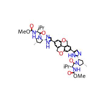 COC(=O)N[C@H](C(=O)N1C[C@@H](C)C[C@H]1c1ncc(-c2cc3c4c(c2)OCc2cc(-c5cnc([C@@H]6C[C@H](C)CN6C(=O)[C@@H](NC(=O)OC)C(C)C)[nH]5)cc(c2-4)OC3)[nH]1)C(C)C